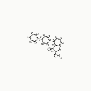 CC1Cc2cccc(-c3ccc(-c4ccccc4)cc3)c2C1=O